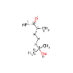 CCCC(=O)C(C)CCCC(C)(C)O